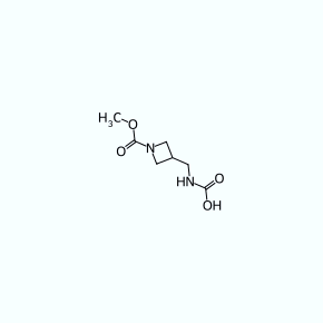 COC(=O)N1CC(CNC(=O)O)C1